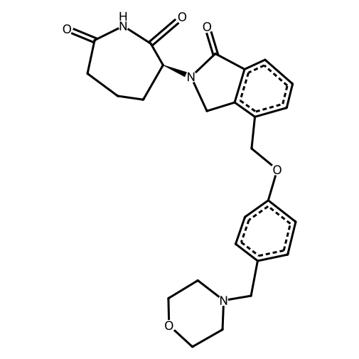 O=C1CCC[C@H](N2Cc3c(COc4ccc(CN5CCOCC5)cc4)cccc3C2=O)C(=O)N1